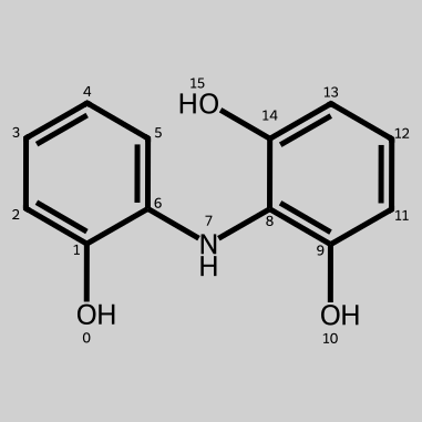 Oc1ccccc1Nc1c(O)cccc1O